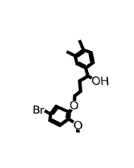 COc1ccc(Br)cc1OCCCC(O)c1ccc(C)c(C)c1